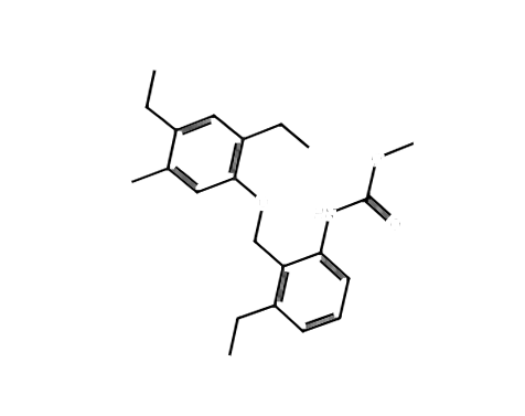 CCc1cc(CC)c(OCc2c(CC)cccc2NC(=O)OC)cc1C